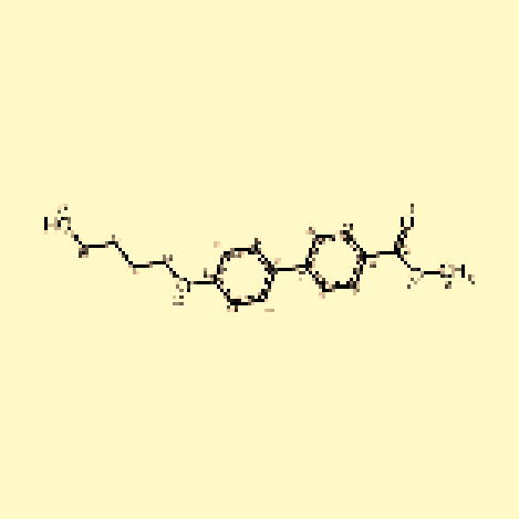 COC(=O)c1ccc(-c2ccc(OCCCCO)cc2)cc1